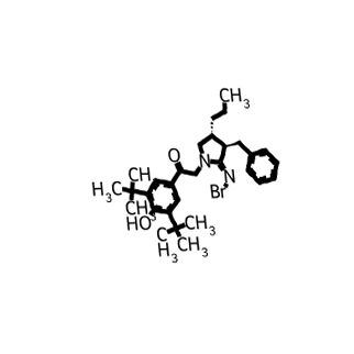 CCC[C@H]1CN(CC(=O)c2cc(C(C)(C)C)c(O)c(C(C)(C)C)c2)/C(=N\Br)[C@@H]1Cc1ccccc1